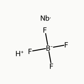 F[B-](F)(F)F.[H+].[Nb]